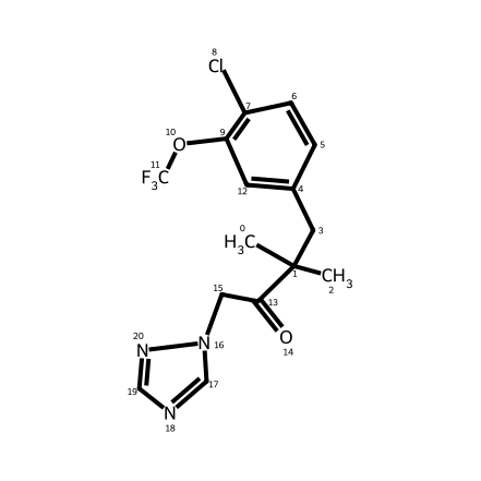 CC(C)(Cc1ccc(Cl)c(OC(F)(F)F)c1)C(=O)Cn1cncn1